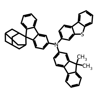 CC1(C)c2ccccc2-c2ccc(N(c3ccc4c(c3)-c3ccccc3C43C4CC5CC(C4)CC3C5)c3ccc4c(c3)sc3ccccc34)cc21